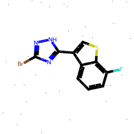 Fc1cccc2c(-c3nc(Br)n[nH]3)csc12